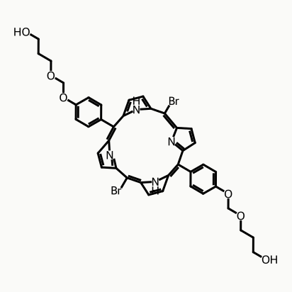 OCCCOCOc1ccc(-c2c3nc(c(Br)c4ccc([nH]4)c(-c4ccc(OCOCCCO)cc4)c4nc(c(Br)c5ccc2[nH]5)C=C4)C=C3)cc1